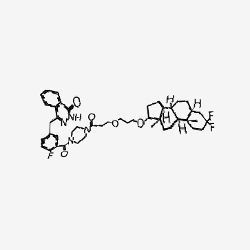 C[C@]12CCC(F)(F)C[C@@H]1CC[C@@H]1[C@@H]2CC[C@]2(C)[C@@H](OCCCOCCC(=O)N3CCN(C(=O)c4cc(Cc5n[nH]c(=O)c6ccccc56)ccc4F)CC3)CC[C@@H]12